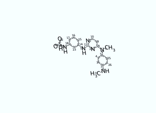 CNc1ccc(N(C)c2ccnc(Nc3cccc(N[SH](=O)=O)c3)n2)cc1